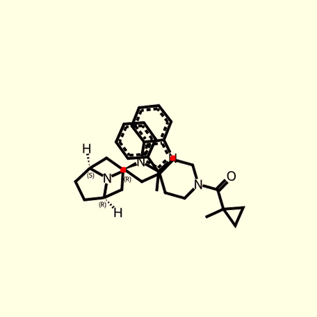 Cc1nc2ccccc2n1[C@H]1C[C@H]2CC[C@@H](C1)N2CCC1(c2ccccc2)CCN(C(=O)C2(C)CC2)CC1